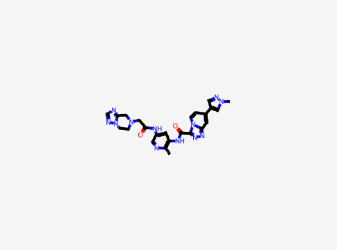 Cc1ncc(NC(=O)CN2CCn3ncnc3C2)cc1NC(=O)c1nnc2cc(-c3cnn(C)c3)ccn12